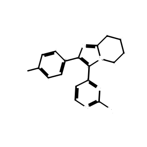 Nc1nccc(-c2c(-c3ccc(F)cc3)nc3n2CCCC3)n1